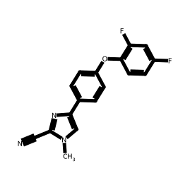 Cn1cc(-c2ccc(Oc3ccc(F)cc3F)cc2)nc1C#N